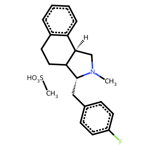 CN1C[C@@H]2c3ccccc3CCC2[C@H]1Cc1ccc(F)cc1.CS(=O)(=O)O